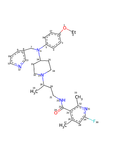 CCOc1ccc(N(Cc2cccnc2)C2CCN(C(C)CCNC(=O)c3c(C)cc(F)nc3C)CC2)cc1